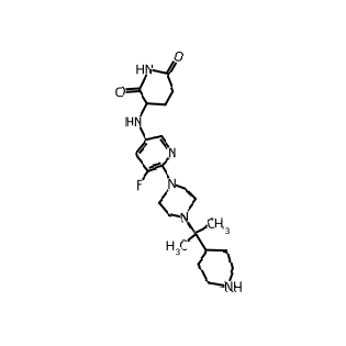 CC(C)(C1CCNCC1)N1CCN(c2ncc(NC3CCC(=O)NC3=O)cc2F)CC1